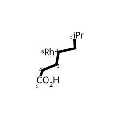 CC(C)CCCCC(=O)O.[Rh]